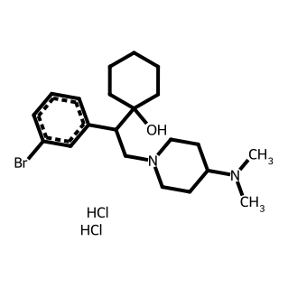 CN(C)C1CCN(CC(c2cccc(Br)c2)C2(O)CCCCC2)CC1.Cl.Cl